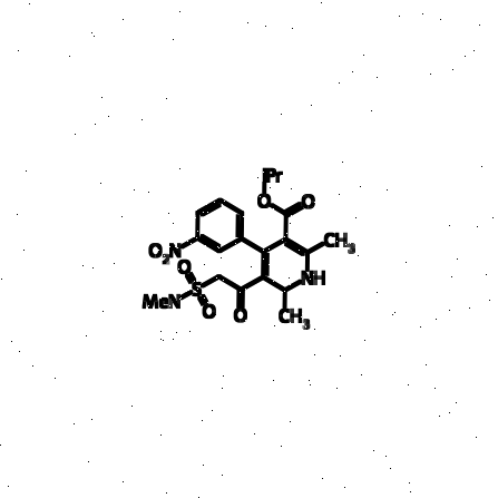 CNS(=O)(=O)CC(=O)C1=C(c2cccc([N+](=O)[O-])c2)C(C(=O)OC(C)C)=C(C)NC1C